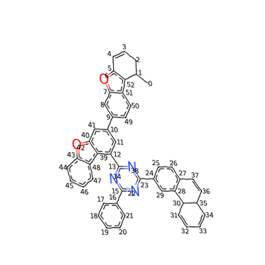 CC1CC=Cc2oc3cc(-c4cc(-c5nc(-c6ccccc6)nc(-c6ccc7c(c6)C6C=CC=CC6C=C7)n5)c5c(c4)oc4ccccc45)ccc3c21